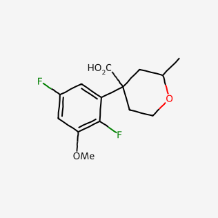 COc1cc(F)cc(C2(C(=O)O)CCOC(C)C2)c1F